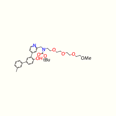 COCCOCCOCCOCCN(Cc1cc(-c2cc(-c3cccc(C)c3)ccc2O)ccn1)C(=O)OC(C)(C)C